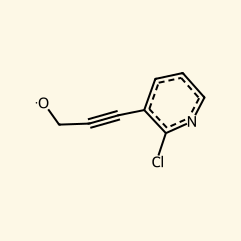 [O]CC#Cc1cccnc1Cl